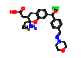 CCC1(N)Oc2cc(C(=O)c3ccc(C=NN4CCOCC4)cc3)ccc2CC1CC(=O)O.Cl